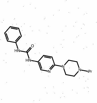 CC(C)N1CCN(c2ccc(NC(=O)Nc3ccccc3)cn2)CC1